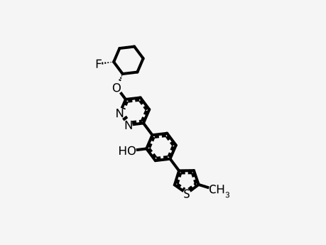 Cc1cc(-c2ccc(-c3ccc(O[C@H]4CCCC[C@H]4F)nn3)c(O)c2)cs1